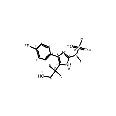 CN(c1nc(-c2ccc(F)cc2)c(C(C)(C)CO)[nH]1)S(C)(=O)=O